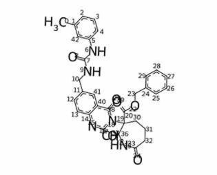 Cc1cccc(NC(=O)NCc2ccc3nc(C)n(C4(C(=O)OCc5ccccc5)CCCC(=O)NC4=O)c(=O)c3c2)c1